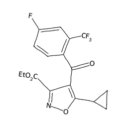 CCOC(=O)c1noc(C2CC2)c1C(=O)c1ccc(F)cc1C(F)(F)F